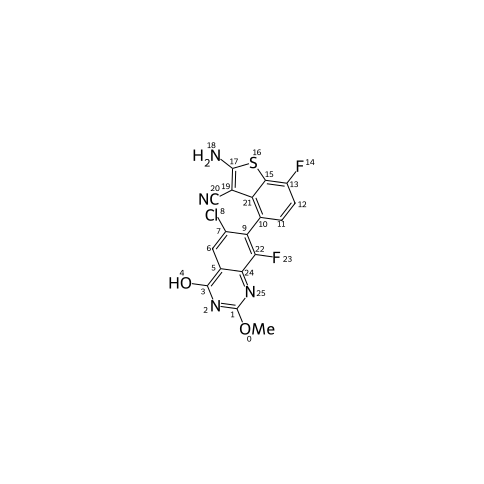 COc1nc(O)c2cc(Cl)c(-c3ccc(F)c4sc(N)c(C#N)c34)c(F)c2n1